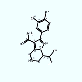 NC(=O)c1c(-c2ccc(F)c(Cl)c2)nn2c1CNCC2C(F)F